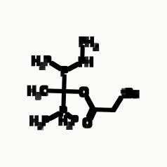 CC(C)(C)CC(=O)OC(C)(P(P)P)P(P)PP